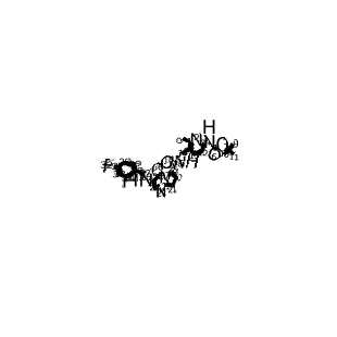 Cc1nc(NC(=O)OC(C)(C)C)ccc1CNC(=O)[C@@H]1CCc2ncc(NCc3ccc(F)cc3)c(=O)n21